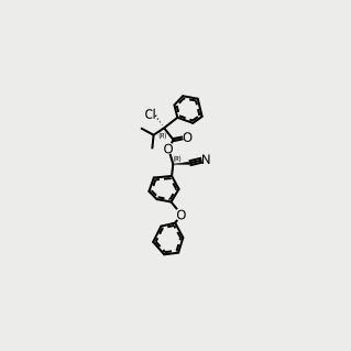 CC(C)[C@](Cl)(C(=O)O[C@@H](C#N)c1cccc(Oc2ccccc2)c1)c1ccccc1